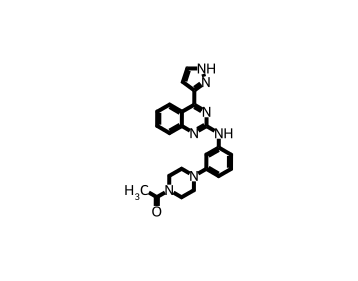 CC(=O)N1CCN(c2cccc(Nc3nc(-c4cc[nH]n4)c4ccccc4n3)c2)CC1